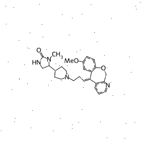 COc1ccc2c(c1)C(=CCCN1CCC(C3CNC(=O)N3C)CC1)c1cccnc1CO2